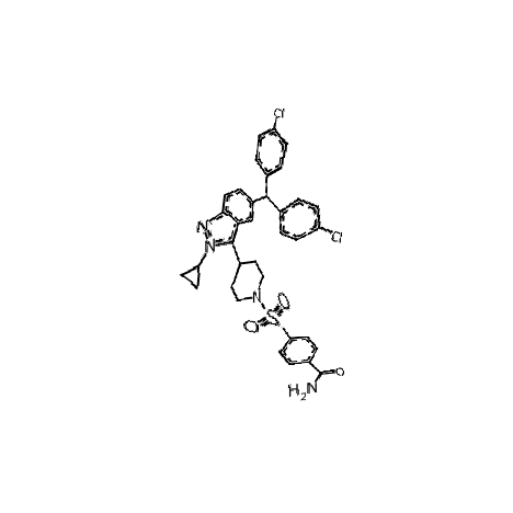 NC(=O)c1ccc(S(=O)(=O)N2CCC(c3c4cc(C(c5ccc(Cl)cc5)c5ccc(Cl)cc5)ccc4nn3C3CC3)CC2)cc1